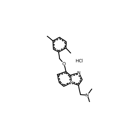 Cc1ccc(C)c(COc2cccn3c(CN(C)C)cnc23)c1.Cl